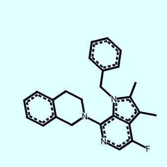 Cc1c(C)n(Cc2ccccc2)c2c(N3CCc4ccccc4C3)ncc(F)c12